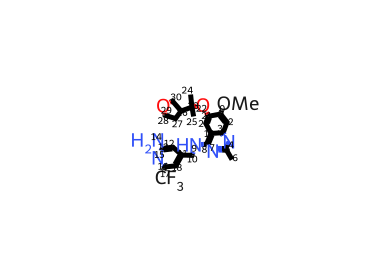 COc1cc2nc(C)nc(NCc3cc(N)nc(C(F)(F)F)c3)c2cc1OC(C)(C)C1CCOC1